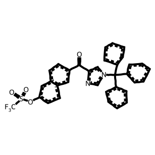 O=C(c1ccc2cc(OS(=O)(=O)C(F)(F)F)ccc2c1)c1cn(C(c2ccccc2)(c2ccccc2)c2ccccc2)cn1